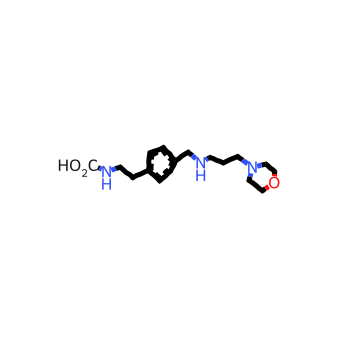 O=C(O)NCCc1ccc(CNCCCN2CCOCC2)cc1